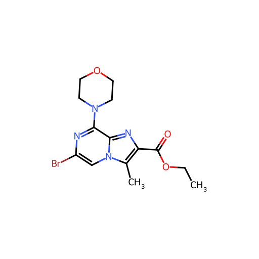 CCOC(=O)c1nc2c(N3CCOCC3)nc(Br)cn2c1C